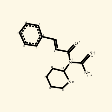 N=C(N)N(C(=O)C=Cc1ccccc1)C1CCCCS1